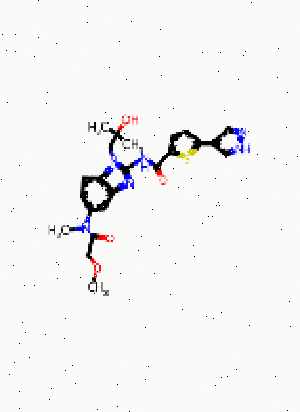 COCC(=O)N(C)c1ccc2c(c1)nc(NC(=O)c1ccc(-c3cn[nH]c3)s1)n2CC(C)(C)O